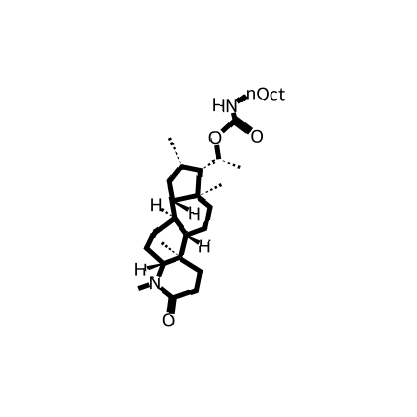 CCCCCCCCNC(=O)O[C@H](C)[C@H]1[C@@H](C)C[C@H]2[C@@H]3CC[C@H]4N(C)C(=O)CC[C@]4(C)[C@H]3CC[C@]12C